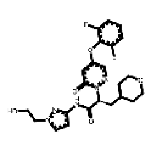 O=C(Nc1ccn(CCO)n1)[C@H](CC1CCOCC1)n1ncc(Oc2c(F)cccc2F)cc1=O